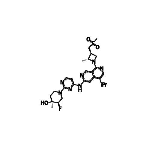 CC(C)c1cnc(N2C[C@H](CS(C)(=O)=O)[C@H]2C)c2cnc(Nc3ccnc(N4CC[C@](C)(O)[C@H](F)C4)n3)cc12